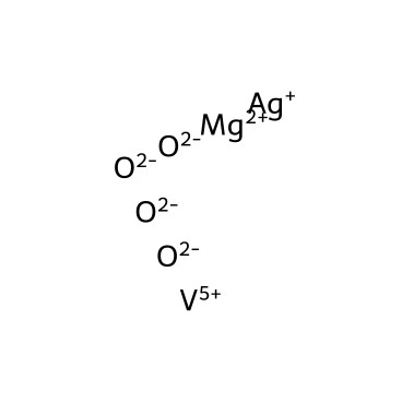 [Ag+].[Mg+2].[O-2].[O-2].[O-2].[O-2].[V+5]